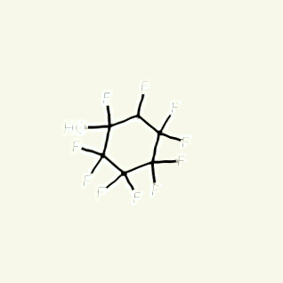 OC1(F)[C](F)C(F)(F)C(F)(F)C(F)(F)C1(F)F